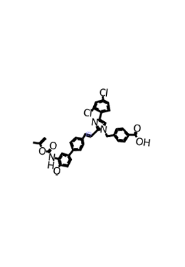 C=C(C)OC(=O)Nc1cc(-c2ccc(/C=C/c3nc(-c4ccc(Cl)cc4Cl)cn3Cc3ccc(C(=O)O)cc3)cc2)ccc1OC